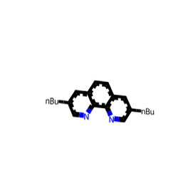 CCCCc1cnc2c(ccc3cc(CCCC)cnc32)c1